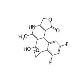 CC1=C(C(=O)O)C(c2cc(F)cc(F)c2C2CC2)C2=C(COC2=O)N1